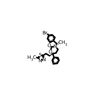 Cc1nnc(CC[C@]2(c3ccccc3)CCN([C@@H](C)c3ccc(Br)cc3)C(=O)O2)s1